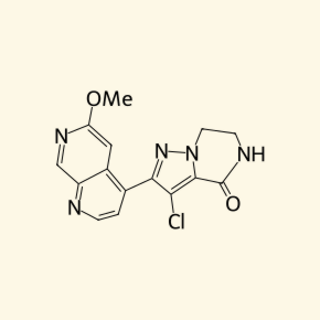 COc1cc2c(-c3nn4c(c3Cl)C(=O)NCC4)ccnc2cn1